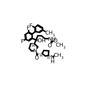 CN[C@H]1CC[C@@H](C(=O)N2CCC[C@@H]([C@@](O)(CCCNC(=O)OC)c3cc(F)cc(F)c3-c3cc(C)ccc3F)C2)C1